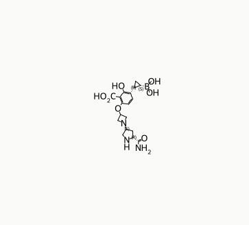 NC(=O)[C@H]1C[C@H](N2CC(Oc3ccc([C@@H]4C[C@@H]4B(O)O)c(O)c3C(=O)O)C2)CN1